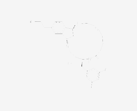 CC(C)CCc1ccc2c(c1)[C@@H]1C[C@H]2OC/C=C\CCCC(=O)N[C@@H](Cc2cc(F)cc(F)c2)[C@H](O)CN1